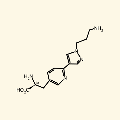 NCCCn1cc(-c2ccc(C[C@H](N)C(=O)O)cn2)cn1